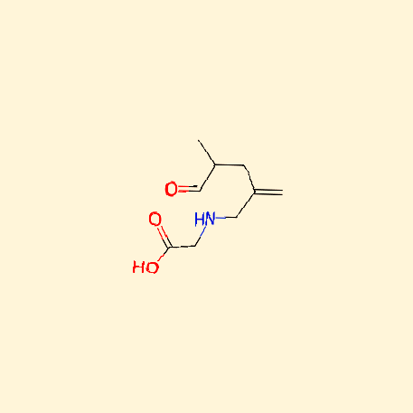 C=C(CNCC(=O)O)CC(C)C=O